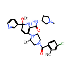 CCOC1(c2cccnc2)C=CC(N2CCN(C(=O)c3ccc(Cl)cc3C#N)C[C@H]2CC)=C(C(=O)N[C@@H]2CCN(C)C2)N1